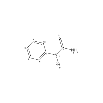 [2H]N(C(N)=S)c1ccccc1